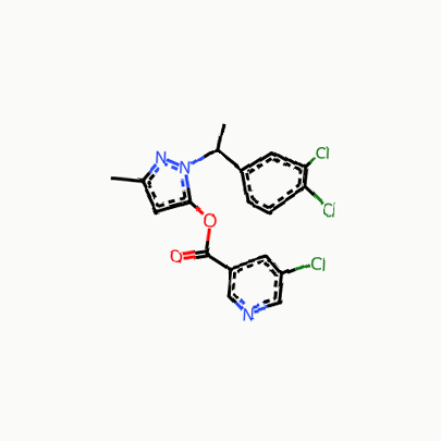 Cc1cc(OC(=O)c2cncc(Cl)c2)n(C(C)c2ccc(Cl)c(Cl)c2)n1